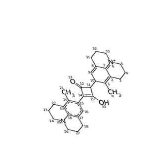 CC1=C2CCC[N+]3=C2C(=CC1C1C(=O)C(c2cc4c5c(c2C)CCCN5CCC4)=C1O)CCC3